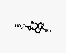 C[C@@H]1N=C(C(C)(C)C)N2CCC(N3CC(C(=O)O)C3)C2=C1C(C)(C)C